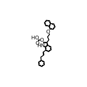 O=C(O)Oc1[nH]c2c(/C=C/Cc3ccccc3)cccc2c1CCCOc1cccc2ccccc12